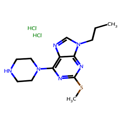 CCCn1cnc2c(N3CCNCC3)nc(SC)nc21.Cl.Cl